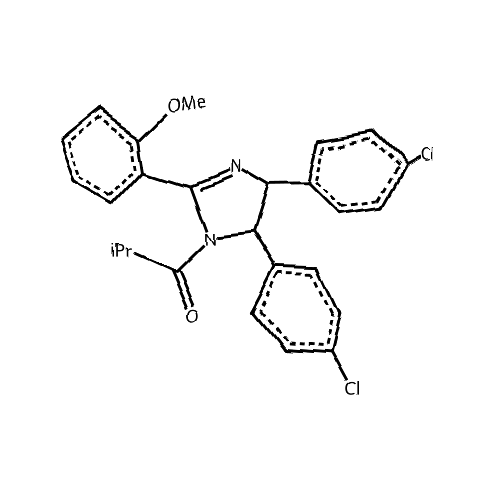 COc1ccccc1C1=NC(c2ccc(Cl)cc2)C(c2ccc(Cl)cc2)N1C(=O)C(C)C